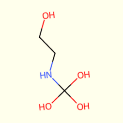 OCCNC(O)(O)O